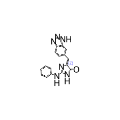 O=C1NC(Nc2ccccc2)=N/C1=C\c1ccc2nn[nH]c2c1